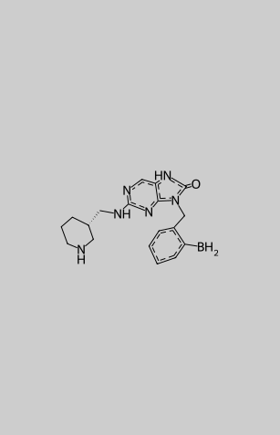 Bc1ccccc1Cn1c(=O)[nH]c2cnc(NC[C@H]3CCCNC3)nc21